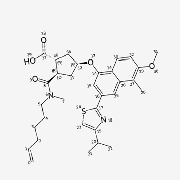 C=CCCCCN(C)C(=O)[C@@H]1C[C@H](Oc2cc(-c3nc(C(C)C)cs3)cc3c(C)c(OC)ccc23)C[C@H]1C(=O)O